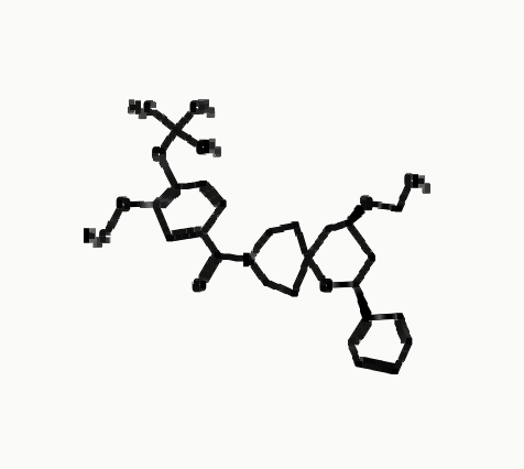 CCO[C@H]1C[C@@H](c2ccccc2)OC2(CCN(C(=O)c3ccc(OC(C)(C)C)c(OC)c3)CC2)C1